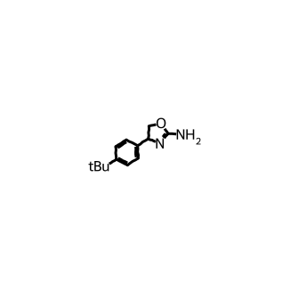 CC(C)(C)c1ccc(C2COC(N)=N2)cc1